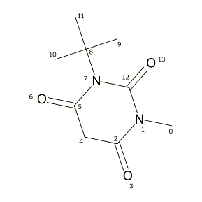 CN1C(=O)CC(=O)N(C(C)(C)C)C1=O